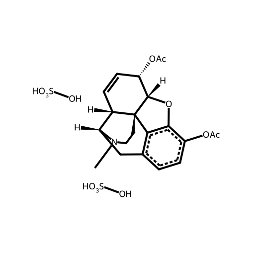 CC(=O)Oc1ccc2c3c1O[C@H]1[C@@H](OC(C)=O)C=C[C@H]4[C@@H](C2)N(C)CC[C@@]341.O=S(=O)(O)O.O=S(=O)(O)O